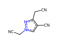 N#CCc1nn(CC#N)[c]c1C#N